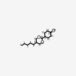 CCCCCC1COC(C2CCC(=O)CC2)OC1